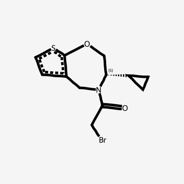 O=C(CBr)N1Cc2ccsc2OC[C@@H]1C1CC1